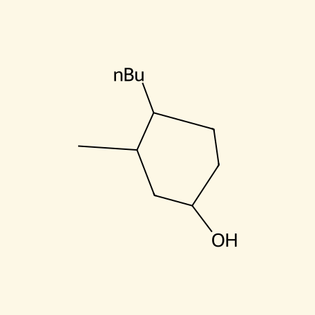 CCCCC1CCC(O)CC1C